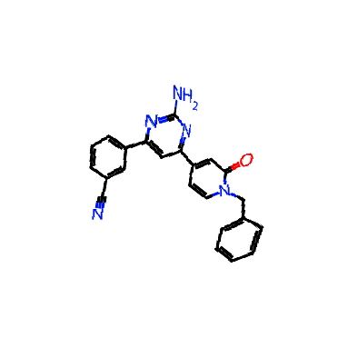 N#Cc1cccc(-c2cc(-c3ccn(Cc4ccccc4)c(=O)c3)nc(N)n2)c1